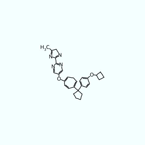 CC1=NC(c2ncc(OC3=CCC=C(C4(c5ccc(OC6CCC6)cc5)CCCC4)C=C3)cn2)=NC1